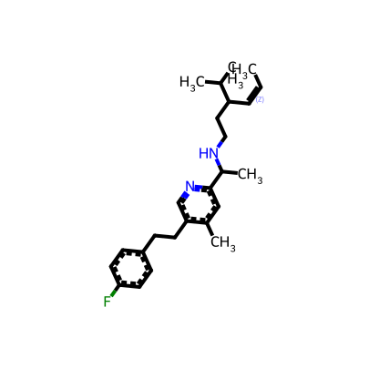 C/C=C\C(CCNC(C)c1cc(C)c(CCc2ccc(F)cc2)cn1)C(C)C